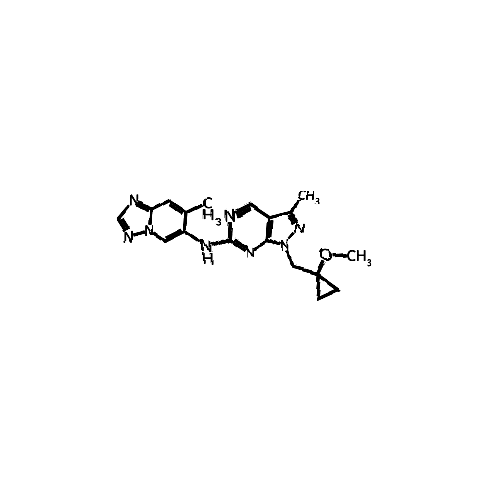 COC1(Cn2nc(C)c3cnc(Nc4cn5ncnc5cc4C)nc32)CC1